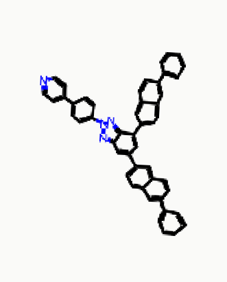 c1ccc(-c2ccc3cc(-c4cc(-c5ccc6cc(-c7ccccc7)ccc6c5)c5nn(-c6ccc(-c7ccncc7)cc6)nc5c4)ccc3c2)cc1